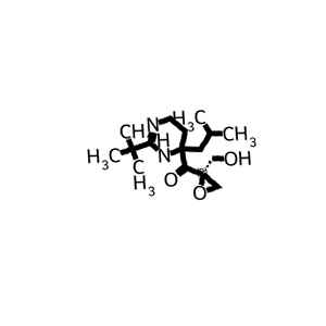 CC(C)CC1(C(=O)[C@@]2(CO)CO2)CCN=C(C(C)(C)C)N1